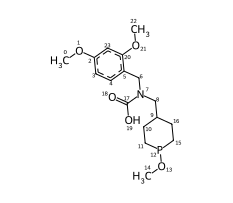 COc1ccc(CN(CC2CCP(OC)CC2)C(=O)O)c(OC)c1